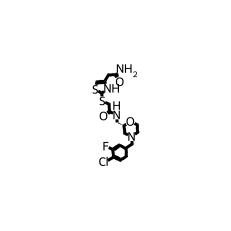 NC(=O)CC1=CSC(SCC(=O)NC[C@H]2CN(CC3C=C(F)C(Cl)=CC3)CCO2)N1